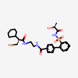 C[C@H](O)C(=O)NS(=O)(=O)c1ccccc1-c1ccc(C(=O)NCCNC(=O)[C@@H](CS)C2CCCCC2)cc1